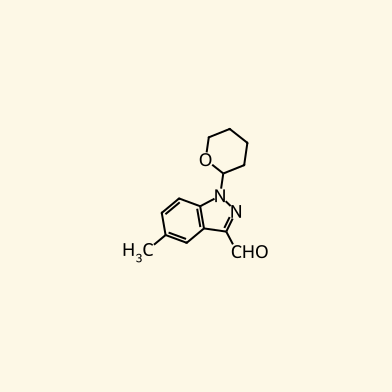 Cc1ccc2c(c1)c(C=O)nn2C1CCCCO1